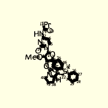 CC[C@H]1O[C@@H](n2ccc(NC(=O)C(C)C)nc2=O)C(OC)[C@H]1O[P@]1O[C@@H](C[Si](C)(c2ccccc2)c2ccccc2)[C@H]2CCCN21